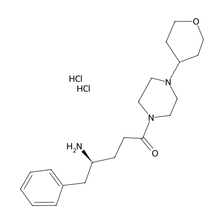 Cl.Cl.N[C@@H](CCC(=O)N1CCN(C2CCOCC2)CC1)Cc1ccccc1